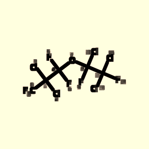 FC(F)(F)C(Cl)(Cl)C(F)(F)OC(F)(Cl)C(F)(Cl)Cl